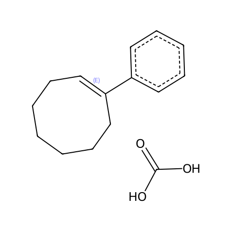 C1=C(/c2ccccc2)CCCCCC/1.O=C(O)O